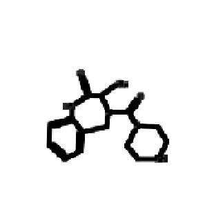 CCC(C)C1C(=O)Nc2ccccc2CN1C(=O)N1CCNCC1